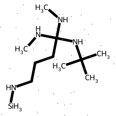 CNC(CCCN[SiH3])(NC)NC(C)(C)C